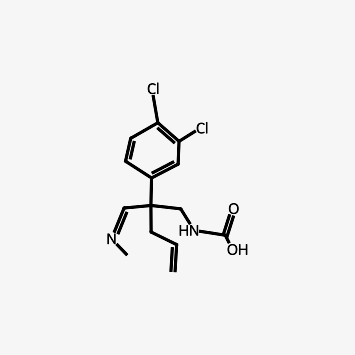 C=CCC(/C=N\C)(CNC(=O)O)c1ccc(Cl)c(Cl)c1